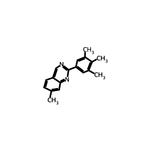 Cc1ccc2cnc(-c3cc(C)c(C)c(C)c3)nc2c1